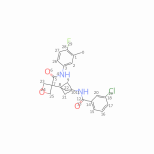 Cc1cc(NC(=O)C2(C34CC(NC(=O)c5cccc(Cl)c5)(C3)C4)COC2)ccc1F